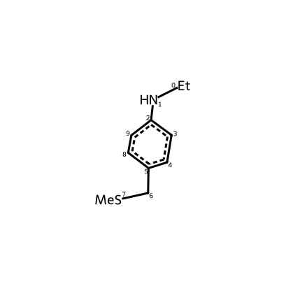 CCNc1ccc(CSC)cc1